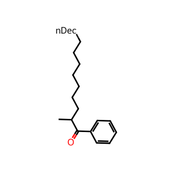 CCCCCCCCCCCCCCCCCC(C)C(=O)c1ccccc1